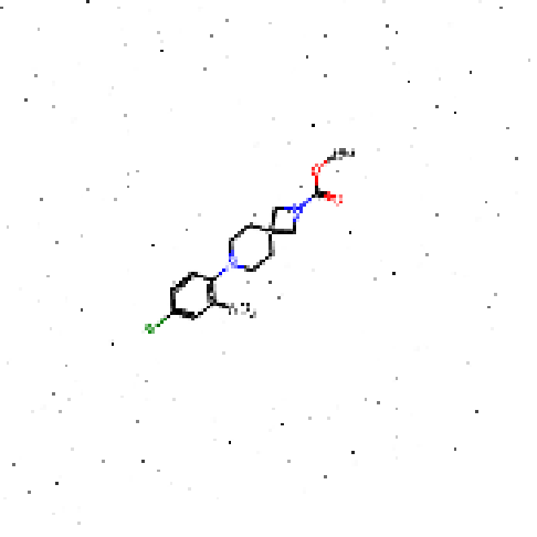 CC(C)(C)OC(=O)N1CC2(CCN(c3ccc(Br)cc3[N+](=O)[O-])CC2)C1